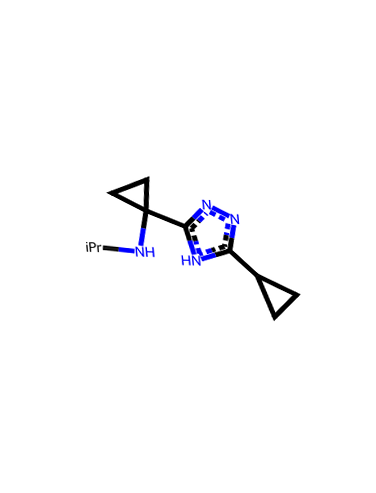 CC(C)NC1(c2nnc(C3CC3)[nH]2)CC1